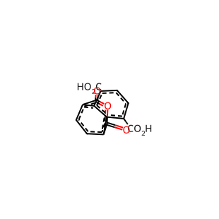 O=C(O)c1ccc(C(=O)O)c2c3ccc(c(=O)oc3=O)c12